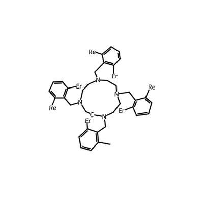 Cc1ccc[c]([Er])c1CN1CCN(Cc2[c]([Er])ccc[c]2[Re])CCN(Cc2[c]([Er])ccc[c]2[Re])CCN(Cc2[c]([Er])ccc[c]2[Re])CC1